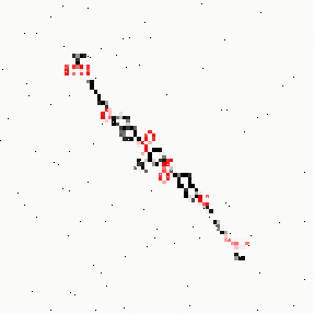 C=CC(=O)OCCCCCCOc1ccc2cc(C(=O)Oc3ccc(OC(=O)c4ccc5cc(OCCCCCCOC(=O)C(=C)C)ccc5c4)c(C(C)(C)C)c3)ccc2c1